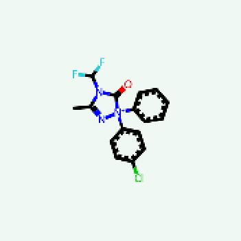 CC1=N[N+](c2ccccc2)(c2ccc(Cl)cc2)C(=O)N1C(F)F